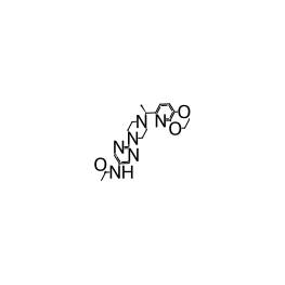 CC(=O)Nc1cnc(N2CCN([C@@H](C)c3ccc4c(n3)OCCO4)CC2)nc1